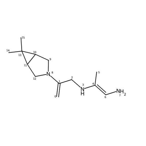 C=C(CN/C(C)=C/N)N1CC2C(C1)C2(C)C